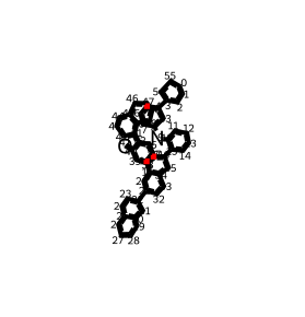 c1ccc(-c2cccc(N(c3ccccc3-c3ccc4cc(-c5ccc6ccccc6c5)ccc4c3)c3cccc4oc5ccc6ccccc6c5c34)c2)cc1